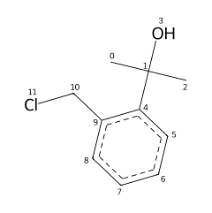 CC(C)(O)c1ccccc1CCl